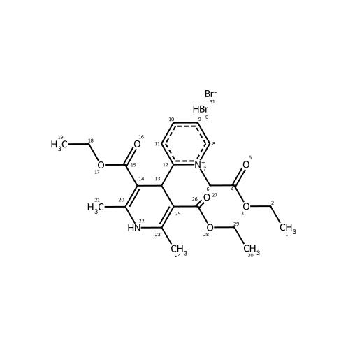 Br.CCOC(=O)C[n+]1ccccc1C1C(C(=O)OCC)=C(C)NC(C)=C1C(=O)OCC.[Br-]